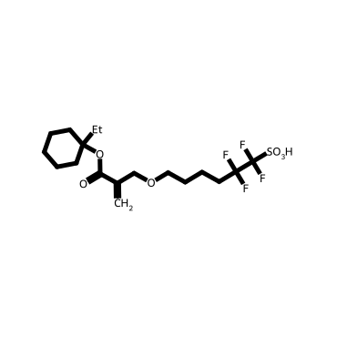 C=C(COCCCCC(F)(F)C(F)(F)S(=O)(=O)O)C(=O)OC1(CC)CCCCC1